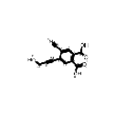 N#Cc1cc(C(=O)O)c(C(=O)O)cc1C#CCO